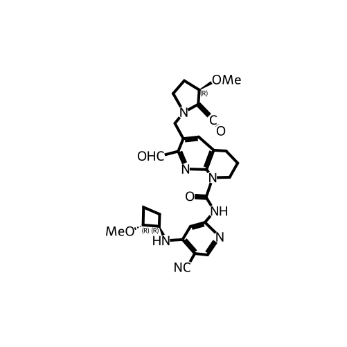 CO[C@@H]1CCN(Cc2cc3c(nc2C=O)N(C(=O)Nc2cc(N[C@@H]4CC[C@H]4OC)c(C#N)cn2)CCC3)C1=C=O